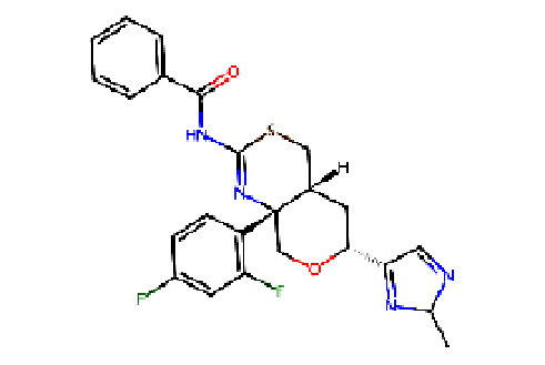 CC1N=CC([C@H]2C[C@H]3CSC(NC(=O)c4ccccc4)=N[C@@]3(c3ccc(F)cc3F)CO2)=N1